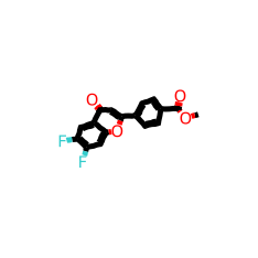 COC(=O)c1ccc(-c2cc(=O)c3cc(F)c(F)cc3o2)cc1